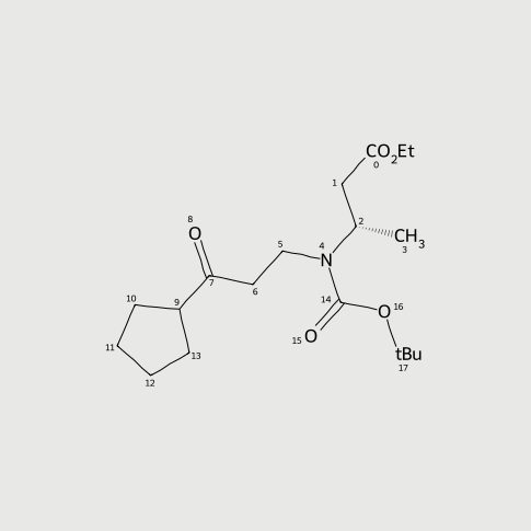 CCOC(=O)C[C@H](C)N(CCC(=O)C1CCCC1)C(=O)OC(C)(C)C